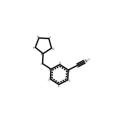 N#Cc1cccc(CC2CCCC2)c1